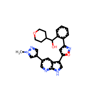 Cn1cc(-c2cnc3[nH]cc(-c4cc(-c5ccccc5C(O)C5CCOCC5)no4)c3c2)cn1